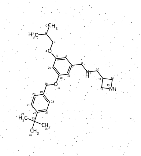 CC(C)COc1cc(CNCC2CNC2)cc(OCc2ccc(C(C)(C)C)cc2)c1